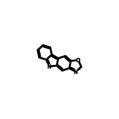 c1ccc2c(c1)=Nc1cc3c(cc1=2)OCN=3